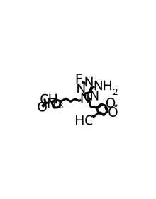 C#Cc1cc2c(cc1Cc1nc3c(N)nc(F)nc3n1CCCCC1CCN(C(C)=O)C1)OCO2